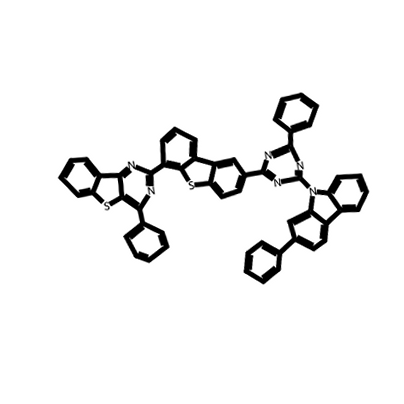 c1ccc(-c2ccc3c4ccccc4n(-c4nc(-c5ccccc5)nc(-c5ccc6sc7c(-c8nc(-c9ccccc9)c9sc%10ccccc%10c9n8)cccc7c6c5)n4)c3c2)cc1